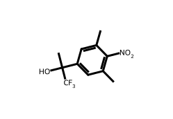 Cc1cc(C(C)(O)C(F)(F)F)cc(C)c1[N+](=O)[O-]